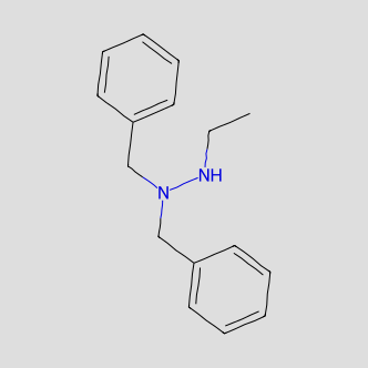 CCNN(Cc1ccccc1)Cc1ccccc1